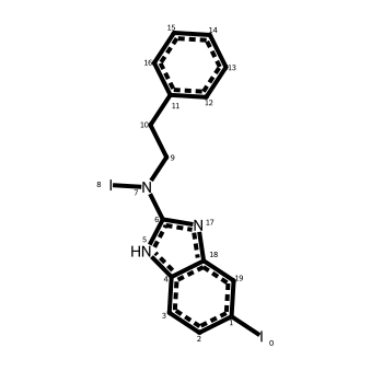 Ic1ccc2[nH]c(N(I)CCc3ccccc3)nc2c1